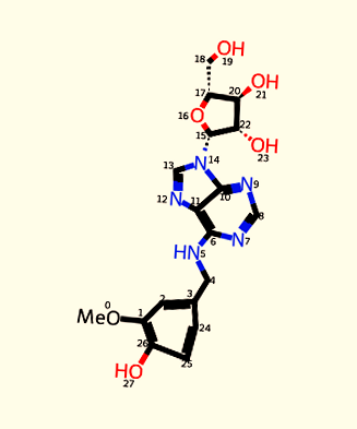 COc1cc(CNc2ncnc3c2ncn3[C@@H]2O[C@H](CO)[C@@H](O)[C@@H]2O)ccc1O